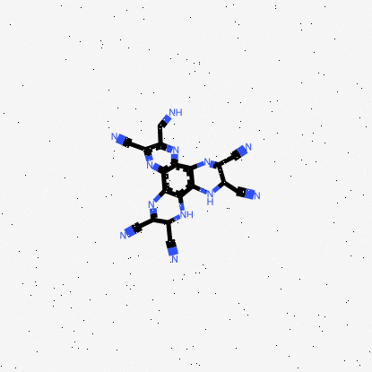 N#CC1=Nc2c(c3c(c4nc(C=N)c(C#N)nc24)N=C(C#N)C(C#N)N3)NC1C#N